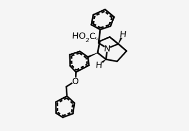 O=C(O)[C@@H]1C[C@@H]2CC[C@H]([C@H]1c1cccc(OCc3ccccc3)c1)N2Cc1ccccc1